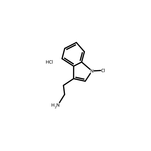 Cl.NCCc1cn(Cl)c2ccccc12